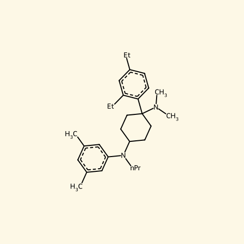 CCCN(c1cc(C)cc(C)c1)C1CCC(c2ccc(CC)cc2CC)(N(C)C)CC1